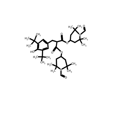 CC(C)(C)c1cc(CC(C(=O)OC2CC(C)(C)N(C=O)C(C)(C)C2)C(=O)OC2CC(C)(C)N(C=O)C(C)(C)C2)cc(C(C)(C)C)c1O